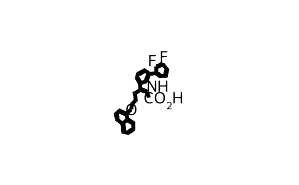 O=C(O)c1[nH]c2c(-c3cccc(F)c3F)cccc2c1CCCOc1cccc2ccccc12